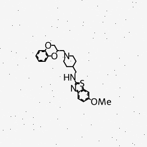 COc1ccc2nc(NCC3CCN(CC4COc5ccccc5O4)CC3)sc2c1